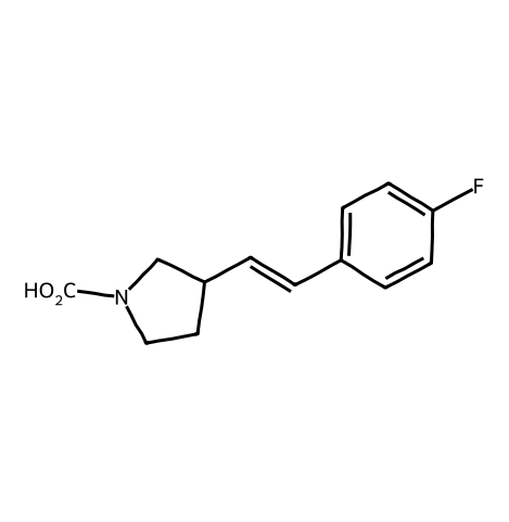 O=C(O)N1CCC(C=Cc2ccc(F)cc2)C1